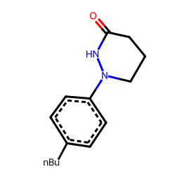 CCCCc1ccc(N2CCCC(=O)N2)cc1